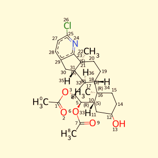 CC(=O)O[C@H]1[C@H](OC(C)=O)[C@H]2CC(O)CC[C@]2(C)[C@H]2CC[C@]3(C)c4nc(Cl)ccc4C[C@H]3[C@H]12